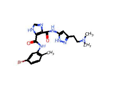 Cc1ccc(Br)cc1NC(=O)c1[nH]cnc1C(=O)Nc1cc(CCN(C)C)n[nH]1